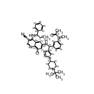 CCC(Nc1c(C#N)cnc2c(Cl)cc(NC(c3cccc(N(C)C(C)=O)c3)c3cn(C4CCN(C(C)(C)C)CC4)nn3)cc12)c1ccccc1